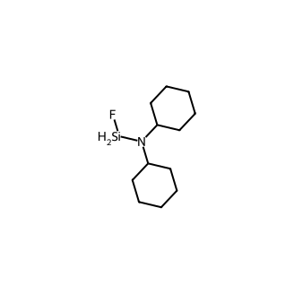 F[SiH2]N(C1CCCCC1)C1CCCCC1